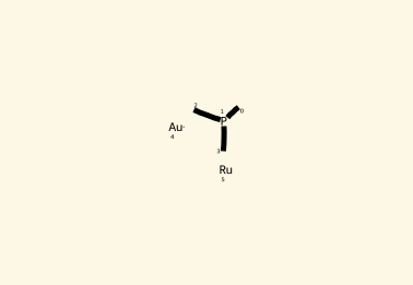 CP(C)C.[Au].[Ru]